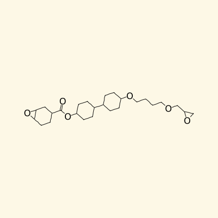 O=C(OC1CCC(C2CCC(OCCCCOCC3CO3)CC2)CC1)C1CCC2OC2C1